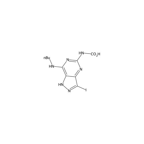 CCCCNc1nc(NC(=O)O)nc2c(I)n[nH]c12